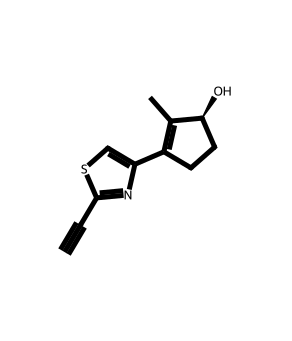 C#Cc1nc(C2=C(C)[C@@H](O)CC2)cs1